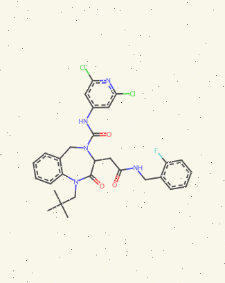 CC(C)(C)CN1C(=O)C(CC(=O)NCc2ccccc2F)N(C(=O)Nc2cc(Cl)nc(Cl)c2)Cc2ccccc21